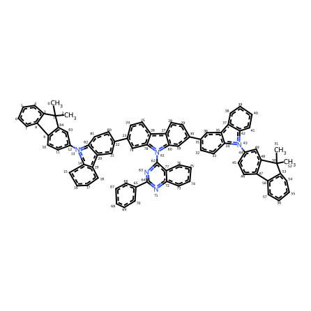 CC1(C)c2ccccc2-c2ccc(-n3c4ccccc4c4cc(-c5ccc6c7ccc(-c8ccc9c(c8)c8ccccc8n9-c8ccc9c(c8)C(C)(C)c8ccccc8-9)cc7n(-c7nc(-c8ccccc8)nc8ccccc78)c6c5)ccc43)cc21